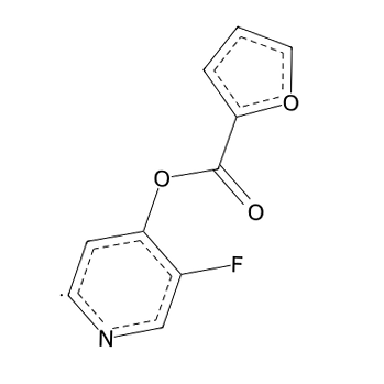 O=C(Oc1c[c]ncc1F)c1ccco1